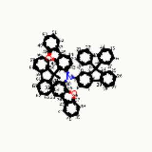 CC1(c2c(N(c3ccc4c(c3)C(c3ccccc3)(c3ccccc3)c3ccccc3-4)c3cccc4c3oc3ccccc34)ccc3c2oc2ccccc23)c2ccccc2-c2ccccc21